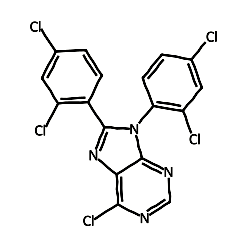 Clc1ccc(-c2nc3c(Cl)ncnc3n2-c2ccc(Cl)cc2Cl)c(Cl)c1